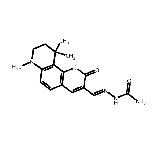 CN1CCC(C)(C)c2c1ccc1cc(/C=N/NC(N)=O)c(=O)oc21